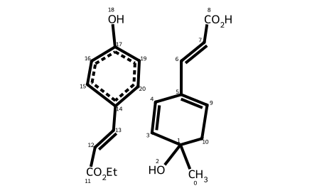 CC1(O)C=CC(/C=C/C(=O)O)=CC1.CCOC(=O)/C=C/c1ccc(O)cc1